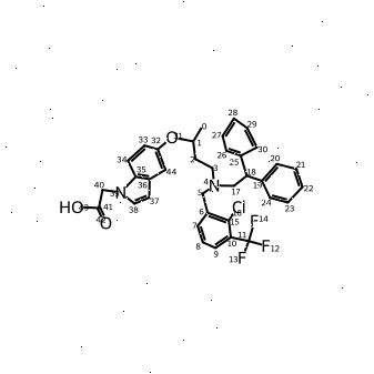 CC(CCN(Cc1cccc(C(F)(F)F)c1Cl)CC(c1ccccc1)c1ccccc1)Oc1ccc2c(ccn2CC(=O)O)c1